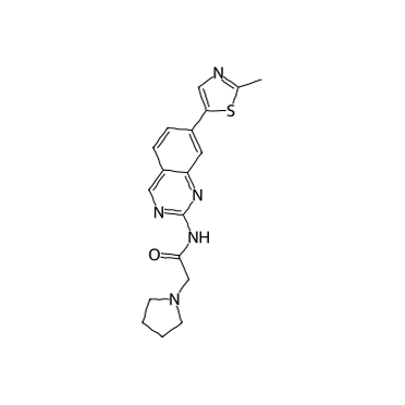 Cc1ncc(-c2ccc3cnc(NC(=O)CN4CCCC4)nc3c2)s1